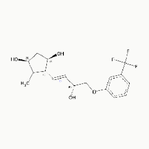 CC1[C@@H](/C=C/[C@@H](O)COc2cccc(C(F)(F)F)c2)[C@H](O)C[C@@H]1O